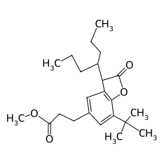 CCCC(CCC)C1C(=O)Oc2c1cc(CCC(=O)OC)cc2C(C)(C)C